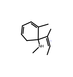 C/C=C(/C)C1(NC)CC=CC=C1C